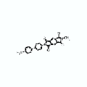 Cc1ccc(-c2ccc(-n3c(=O)c4cc5c(=O)n(C)c(=O)c5cc4c3=O)cc2)cc1